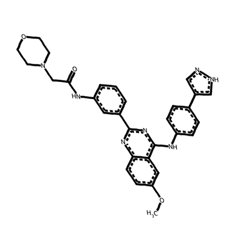 COc1ccc2nc(-c3cccc(NC(=O)CN4CCOCC4)c3)nc(Nc3ccc(-c4cn[nH]c4)cc3)c2c1